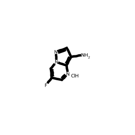 Cl.Nc1cnn2cc(F)cnc12